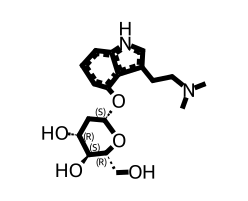 CN(C)CCc1c[nH]c2cccc(O[C@H]3C[C@@H](O)[C@H](O)[C@@H](CO)O3)c12